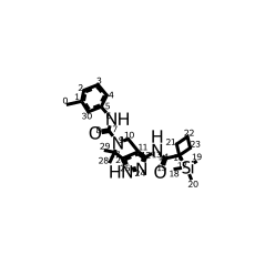 Cc1cccc(NC(=O)N2Cc3c(NC(=O)C4([Si](C)(C)C)CCC4)n[nH]c3C2(C)C)c1